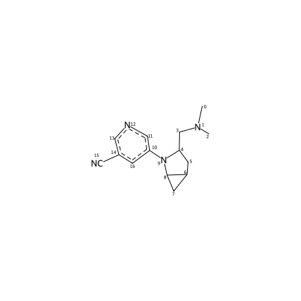 CN(C)CC1CC2CC2N1c1cncc(C#N)c1